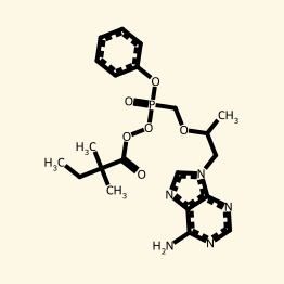 CCC(C)(C)C(=O)OOP(=O)(COC(C)Cn1cnc2c(N)ncnc21)Oc1ccccc1